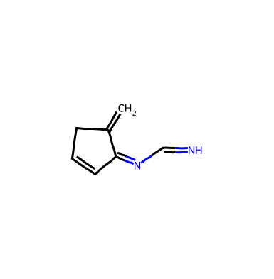 C=C1CC=C/C1=N/C=N